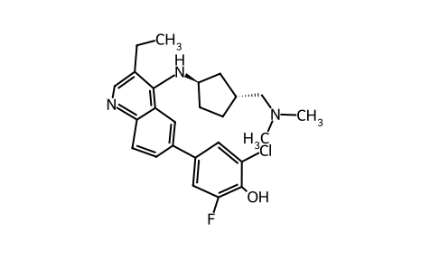 CCc1cnc2ccc(-c3cc(F)c(O)c(Cl)c3)cc2c1N[C@@H]1CC[C@@H](CN(C)C)C1